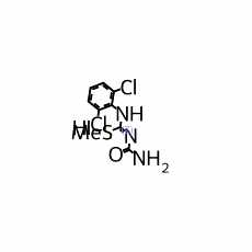 CS/C(=N\C(N)=O)Nc1c(Cl)cccc1Cl.I